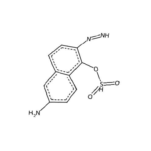 N=Nc1ccc2cc(N)ccc2c1O[SH](=O)=O